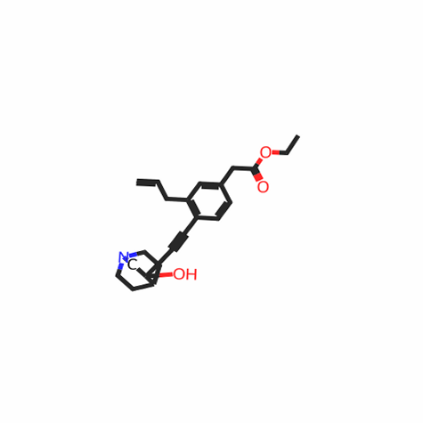 C=CCc1cc(CC(=O)OCC)ccc1C#CC1(O)CN2CCC1CC2